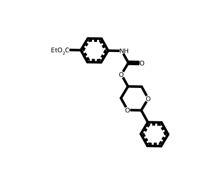 CCOC(=O)c1ccc(NC(=O)OC2COC(c3ccccc3)OC2)cc1